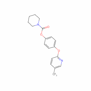 O=C(Oc1ccc(Oc2ccc(C(F)(F)F)cn2)cc1)N1CCCCC1